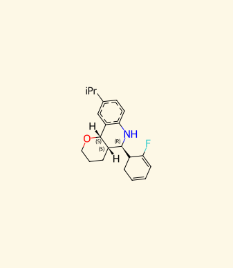 CC(C)c1ccc2c(c1)[C@H]1OCCC[C@H]1[C@H](C1CC=CC=C1F)N2